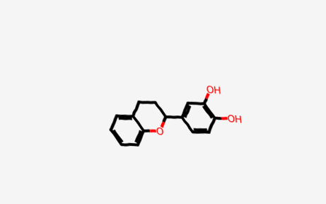 Oc1ccc(C2CCc3ccccc3O2)cc1O